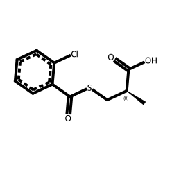 C[C@@H](CSC(=O)c1ccccc1Cl)C(=O)O